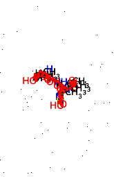 CC1=C(C)C(=O)C(C(C)(C)CC(=O)N(C)CCN(CCCC(=O)NCCCCC(NC(=O)CC[C@@H](C)[C@H]2CC[C@H]3C4CCC5C[C@H](O)CC[C@]5(C)[C@H]4C[C@H](O)[C@]23C)C(=O)O)C(=O)Oc2ccc3nc(C4=NC(C(=O)O)CS4)sc3c2)=C(C)C1=O